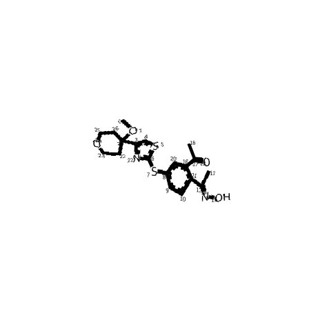 COC1(c2csc(Sc3ccc(/C(C)=N/O)c(C(C)=O)c3)n2)CCOCC1